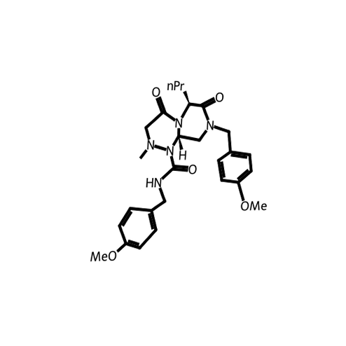 CCC[C@H]1C(=O)N(Cc2ccc(OC)cc2)C[C@H]2N1C(=O)CN(C)N2C(=O)NCc1ccc(OC)cc1